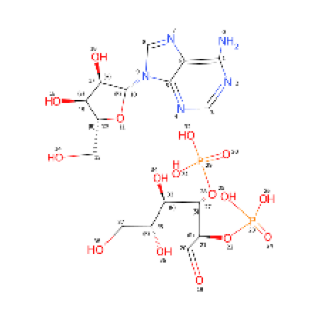 Nc1ncnc2c1ncn2[C@@H]1O[C@H](CO)[C@@H](O)[C@H]1O.O=C[C@H](OP(=O)(O)O)[C@@H](OP(=O)(O)O)[C@H](O)[C@H](O)CO